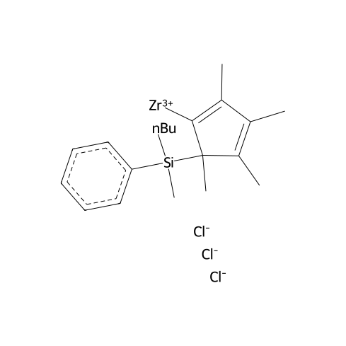 CCCC[Si](C)(c1ccccc1)C1(C)C(C)=C(C)C(C)=[C]1[Zr+3].[Cl-].[Cl-].[Cl-]